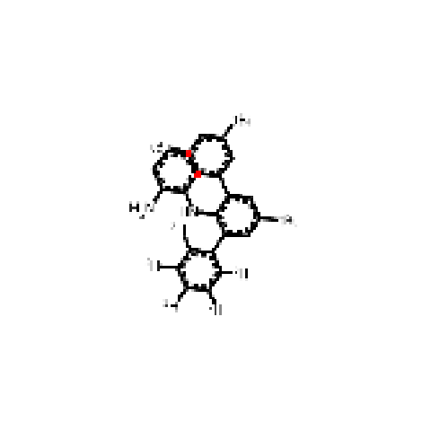 [2H]c1c([2H])c([2H])c(-c2cc(C(C)(C)C)cc(-c3cc(C(C)(C)C)cc(C(C)(C)C)c3)c2Nc2ccccc2N)c([2H])c1[2H]